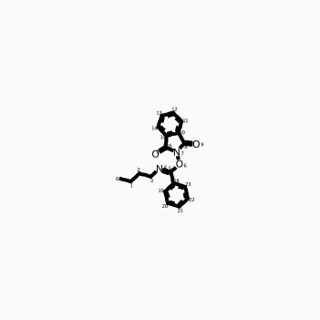 CCCCN=C(ON1C(=O)c2ccccc2C1=O)c1ccccc1